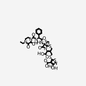 CCN1CCN(C(=O)NC(C(=O)N[C@]2(SC)C(=O)N3C(C(=O)O)=C(CSc4snc(O)c4C(=O)O)CS[C@H]32)c2ccccc2)C(=O)C1=O